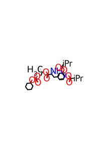 CC(C)C(=O)Oc1ccc(C[C@H](N)C(=O)O[C@@H](C)COC(=O)OC2CCCCC2)cc1OC(=O)C(C)C